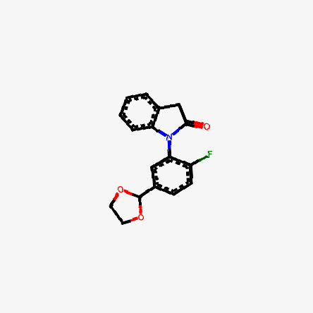 O=C1Cc2ccccc2N1c1cc(C2OCCO2)ccc1F